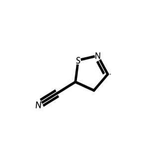 N#CC1C[C]=NS1